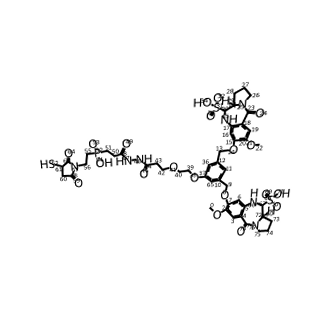 COc1cc2c(cc1OCc1cc(COc3cc4c(cc3OC)C(=O)N3CCC[C@H]3C(S(=O)(=O)O)N4)cc(OCCOCCC(=O)NNC(=O)CCP(=O)(O)CCN3C(=O)CC(S)C3=O)c1)NC(S(=O)(=O)O)[C@@H]1CCCN1C2=O